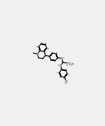 CN1CCC(c2ccc(OC(Oc3ccc(Cl)cc3)C(=O)O)cc2)c2ccccc21